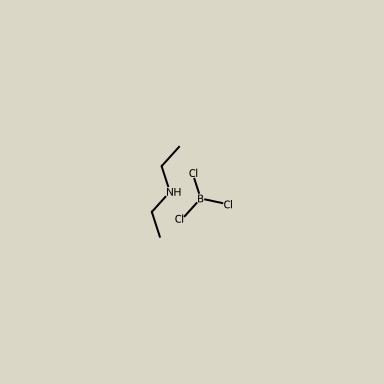 CCNCC.ClB(Cl)Cl